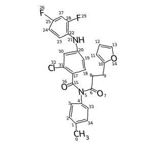 Cc1ccc(N(C(=O)CCc2ccco2)C(=O)c2ccc(Nc3ccc(F)cc3F)cc2Cl)cc1